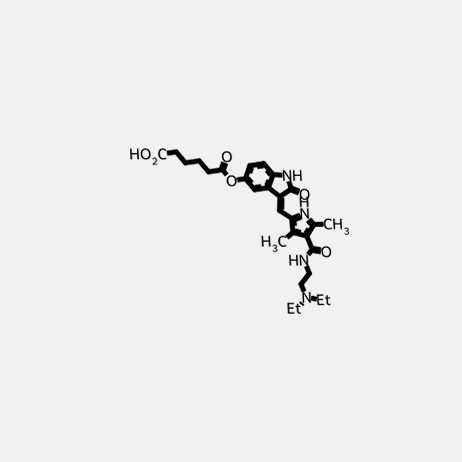 CCN(CC)CCNC(=O)c1c(C)[nH]c(/C=C2\C(=O)Nc3ccc(OC(=O)CCCCC(=O)O)cc32)c1C